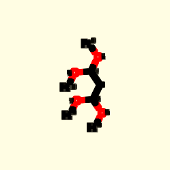 CCOC([CH]C(OCC)OCC)OCC